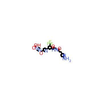 Nc1ccc(C=CC(=O)NCc2cc3cc(-c4ccc(C(=O)N5CCN(C(=O)O)CC5)cn4)cc(C(F)(F)F)c3o2)cn1